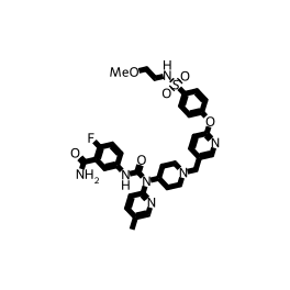 COCCNS(=O)(=O)c1ccc(Oc2ccc(CN3CCC(N(C(=O)Nc4ccc(F)c(C(N)=O)c4)c4ccc(C)cn4)CC3)cn2)cc1